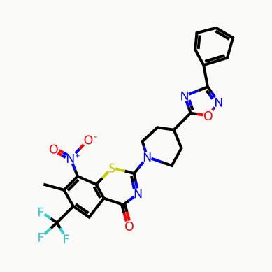 Cc1c(C(F)(F)F)cc2c(=O)nc(N3CCC(c4nc(-c5ccccc5)no4)CC3)sc2c1[N+](=O)[O-]